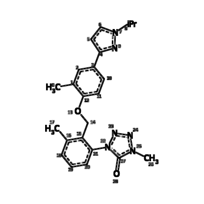 Cc1cc(-c2ccn(C(C)C)n2)ccc1OCc1c(C)cccc1-n1nnn(C)c1=O